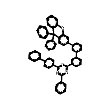 c1ccc(-c2ccc(-c3nc(-c4ccccc4)nc(-c4cccc(-c5cccc(-c6ccc7c(c6)Oc6ccccc6C7(c6ccccc6)c6ccccc6)c5)c4)n3)cc2)cc1